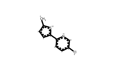 Cc1ccc(-c2ccc(Cl)cn2)s1